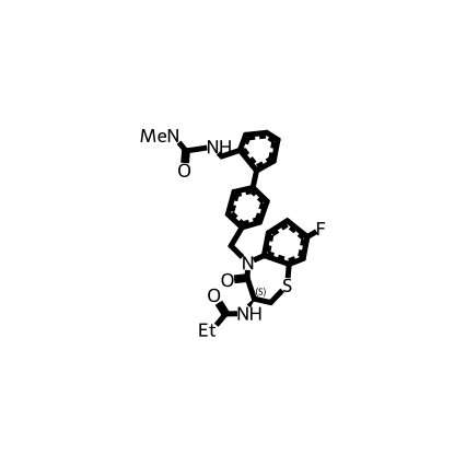 CCC(=O)N[C@@H]1CSc2cc(F)ccc2N(Cc2ccc(-c3ccccc3CNC(=O)NC)cc2)C1=O